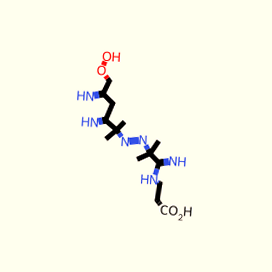 CC(C)(N=NC(C)(C)C(=N)NCCC(=O)O)C(=N)CC(=N)COO